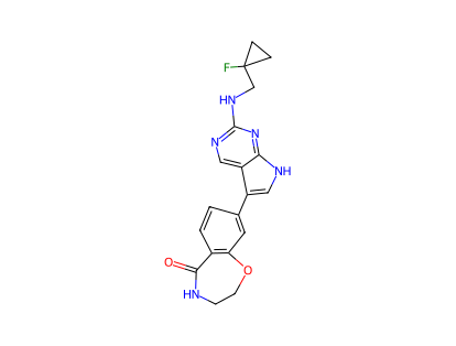 O=C1NCCOc2cc(-c3c[nH]c4nc(NCC5(F)CC5)ncc34)ccc21